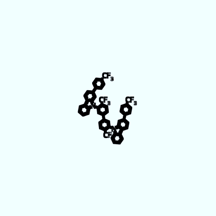 FC(F)(F)c1ccc(-c2ccc3c4ccccc4n(-c4cc(-c5ccc(C(F)(F)F)c(-n6c7ccccc7c7ccc(-c8ccc(C(F)(F)F)cc8)cc76)c5)ccc4C(F)(F)F)c3c2)cc1